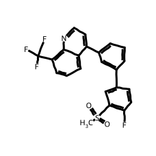 CS(=O)(=O)c1cc(-c2cccc(-c3ccnc4c(C(F)(F)F)cccc34)c2)ccc1F